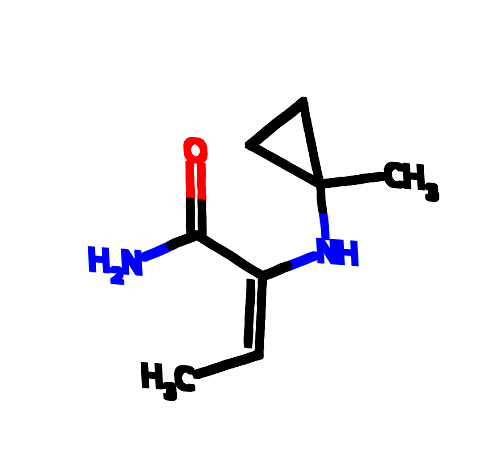 CC=C(NC1(C)CC1)C(N)=O